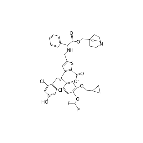 O=C([O-])c1sc(CNC(C(=O)OCC23CCN(CC2)CC3)c2ccccc2)cc1[C@@H](Cc1c(Cl)c[n+](O)cc1Cl)c1ccc(OC(F)F)c(OCC2CC2)c1